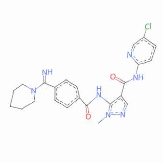 Cn1ncc(C(=O)Nc2ccc(Cl)cn2)c1NC(=O)c1ccc(C(=N)N2CCCCC2)cc1